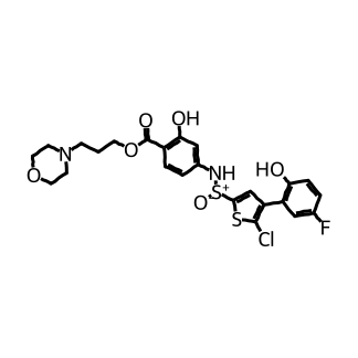 O=C(OCCCN1CCOCC1)c1ccc(N[S+]([O-])c2cc(-c3cc(F)ccc3O)c(Cl)s2)cc1O